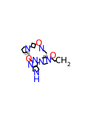 C=CC(=O)N1CCN(c2nc(OC[C@@H]3CCCN3C3CC(=O)C3)nc3c2CNC3)C[C@@H]1CC#N